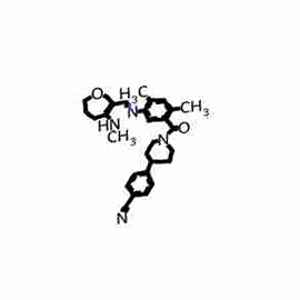 CNC1=C(/C=N/c2cc(C(=O)N3CCC(c4ccc(C#N)cc4)CC3)c(C)cc2C)COCCC1